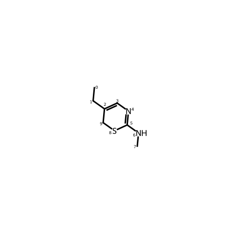 CCC1=CN=C(NC)SC1